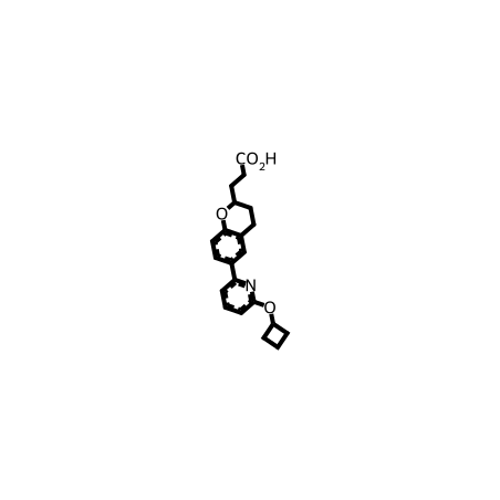 O=C(O)CCC1CCc2cc(-c3cccc(OC4CCC4)n3)ccc2O1